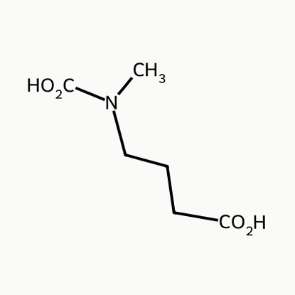 CN(CCCC(=O)O)C(=O)O